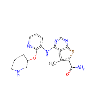 Cc1c(C(N)=O)sc2ncnc(Nc3cccnc3OC3CCCNC3)c12